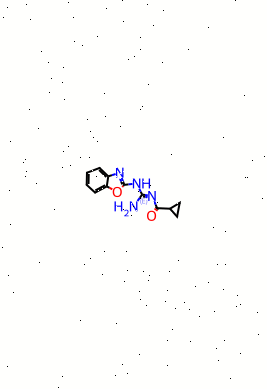 N/C(=N\C(=O)C1CC1)Nc1nc2ccccc2o1